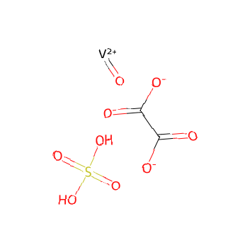 O=C([O-])C(=O)[O-].O=S(=O)(O)O.[O]=[V+2]